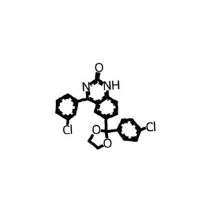 O=c1nc(-c2cccc(Cl)c2)c2cc(C3(c4ccc(Cl)cc4)OCCO3)ccc2[nH]1